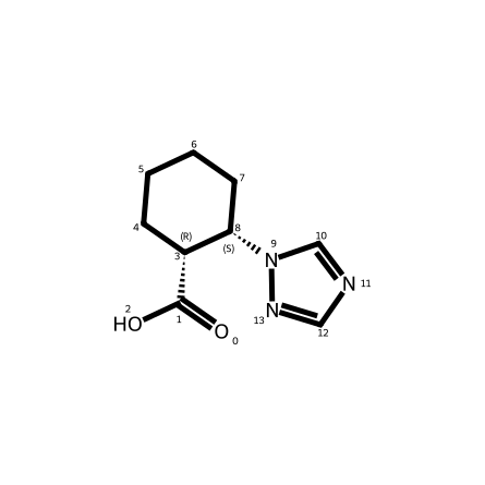 O=C(O)[C@@H]1CCCC[C@@H]1n1cncn1